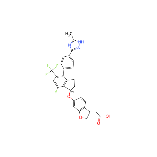 Cc1nc(-c2ccc(-c3c(C(F)(F)F)cc(F)c4c3CC[C@H]4Oc3ccc4c(c3)OCC4CC(=O)O)cc2)n[nH]1